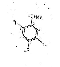 O=Cc1cc(I)c(F)cc1F